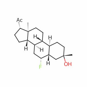 CC(=O)[C@H]1CC[C@H]2[C@@H]3C[C@@H](F)[C@H]4C[C@@](C)(O)CC[C@@H]4[C@H]3CC[C@]12C